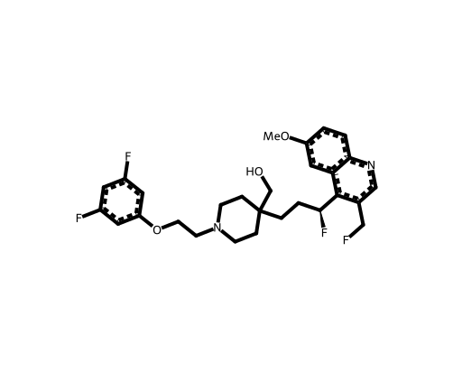 COc1ccc2ncc(CF)c([C@@H](F)CCC3(CO)CCN(CCOc4cc(F)cc(F)c4)CC3)c2c1